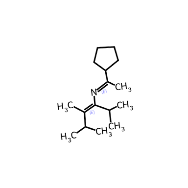 C/C(=N\C(=C(/C)C(C)C)C(C)C)C1CCCC1